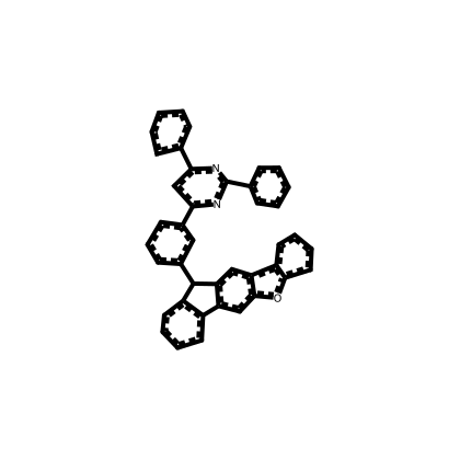 c1ccc(-c2cc(-c3cccc(C4c5ccccc5-c5cc6oc7ccccc7c6cc54)c3)nc(-c3ccccc3)n2)cc1